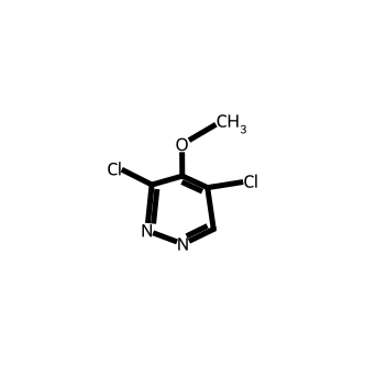 COc1c(Cl)cnnc1Cl